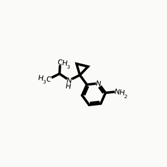 CC(C)NC1(c2cccc(N)n2)CC1